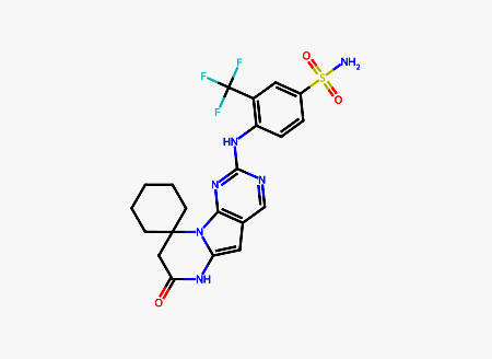 NS(=O)(=O)c1ccc(Nc2ncc3cc4n(c3n2)C2(CCCCC2)CC(=O)N4)c(C(F)(F)F)c1